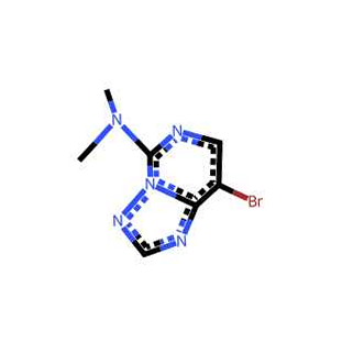 CN(C)c1ncc(Br)c2ncnn12